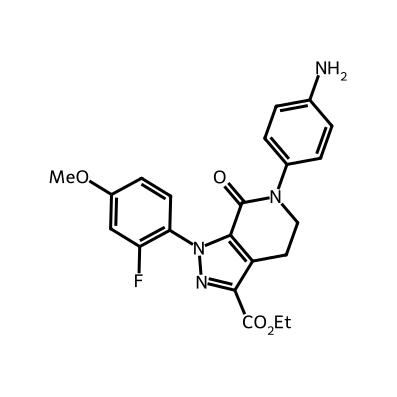 CCOC(=O)c1nn(-c2ccc(OC)cc2F)c2c1CCN(c1ccc(N)cc1)C2=O